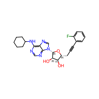 O[C@@H]1[C@H](O)[C@@H](CC#Cc2ccccc2F)O[C@H]1n1cnc2c(NC3CCCCC3)ncnc21